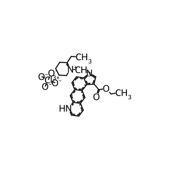 CCC1=[N+](C)CCCC1.CCOC(=O)c1cnc2ccc3cc4[nH]cccc4cc3c12.[O-][Cl+3]([O-])([O-])[O-]